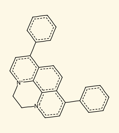 c1ccc(-c2cc[n+]3c4c2ccc2c(-c5ccccc5)cc[n+](c24)CC3)cc1